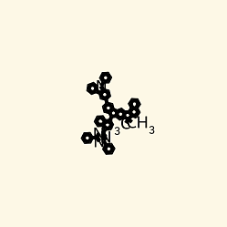 CC1(C)c2cc3c(cc2-c2c1ccc1ccccc21)-c1cc(-c2ccc4c(c2)c2ccccc2n4-c2ccccc2)ccc1C3c1ccc(-c2nc(-c3ccccc3)nc(-c3ccccc3)n2)c2ccccc12